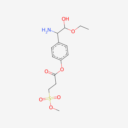 CCOC(O)C(N)c1ccc(OC(=O)CCS(=O)(=O)OC)cc1